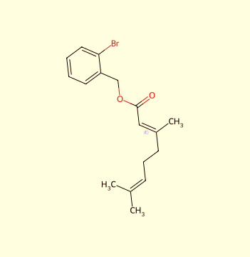 CC(C)=CCC/C(C)=C/C(=O)OCc1ccccc1Br